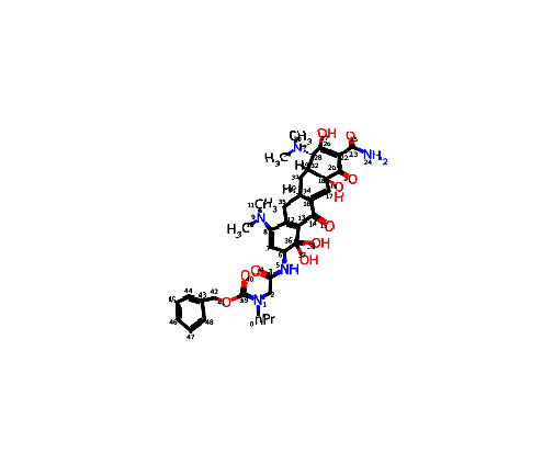 CCCN(CC(=O)NC1C=C(N(C)C)C2=C(C(=O)C3=C[C@@]4(O)C(=O)C(C(N)=O)=C(O)[C@@H](N(C)C)[C@@H]4C[C@@H]3C2)C1(O)O)C(=O)OCc1ccccc1